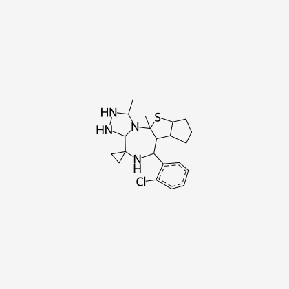 CC1NNC2N1C1(C)SC3CCCC3C1C(c1ccccc1Cl)NC21CC1